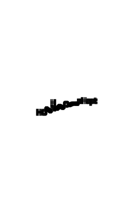 CCCCCCCCCCOCCCNCCO